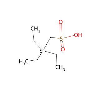 CC[Si](CC)(CC)CS(=O)(=O)O